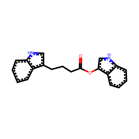 O=C(CCCc1c[nH]c2ccccc12)Oc1c[nH]c2ccccc12